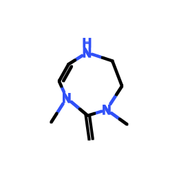 C=C1N(C)/C=C\NCCN1C